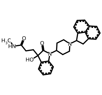 CNC(=O)CCC1(O)C(=O)N(C2CCN(C3Cc4cccc5cccc3c45)CC2)c2ccccc21